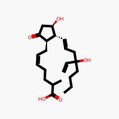 C=CC(O)(C/C=C/[C@H]1[C@H](O)CC(=O)[C@@H]1C/C=C\CCC(C)C(=O)O)CCCC